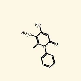 Cc1c(C(=O)O)c(C(F)(F)F)cc(=O)n1-c1ccccc1